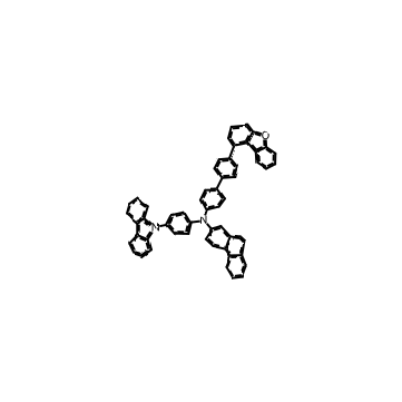 c1ccc2c(c1)ccc1cc(N(c3ccc(-c4ccc(-c5cccc6oc7ccccc7c56)cc4)cc3)c3ccc(-n4c5ccccc5c5ccccc54)cc3)ccc12